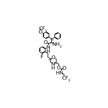 N[C@H](C(=O)Nc1cccc(F)c1CC[C@@H]1CN[C@H](COC(=O)NCC(F)(F)F)CO1)[C@H](c1ccccc1)c1ccc(OC(F)(F)F)cc1